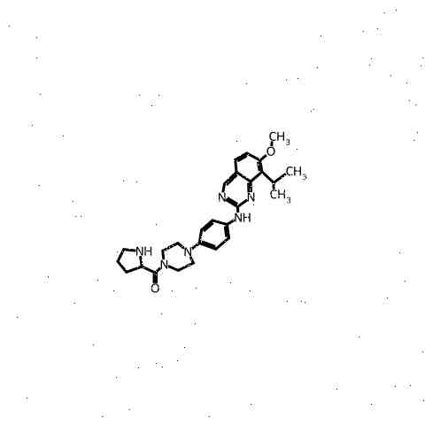 COc1ccc2cnc(Nc3ccc(N4CCN(C(=O)C5CCCN5)CC4)cc3)nc2c1C(C)C